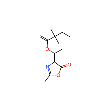 C=C(OC(C)C1N=C(C)OC1=O)C(C)(C)CC